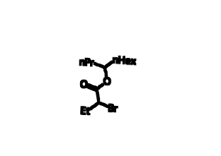 CCCCCCC(CCC)OC(=O)C(Br)CC